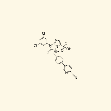 C[C@@]1(Cc2ccc(-c3ccc(C#N)nc3)cc2)C(=O)N(c2cc(Cl)cc(Cl)c2)c2ncc(S(=O)(=O)O)n21